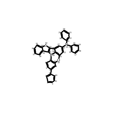 c1ccc(-c2ccc3c(c2)Oc2cc(N(c4ccccc4)c4ccccc4)cc4c2B3c2c-4sc3ccccc23)cc1